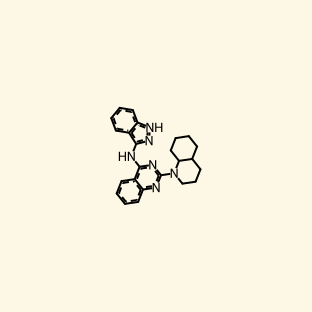 c1ccc2c(Nc3n[nH]c4ccccc34)nc(N3CCCC4CCCCC43)nc2c1